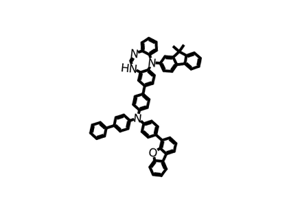 CC1(C)c2ccccc2-c2ccc(-n3c4ccccc4nc[nH]c4cc(-c5ccc(N(c6ccc(-c7ccccc7)cc6)c6ccc(-c7cccc8c7oc7ccccc78)cc6)cc5)ccc43)cc21